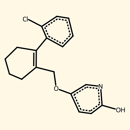 Oc1ccc(OCC2=C(c3ccccc3Cl)CCCC2)cn1